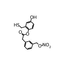 O=C(Cc1cccc(CO[N+](=O)[O-])c1)Oc1ccc(O)cc1CS